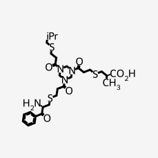 CC(C)CSCCC(=O)N1CN(C(=O)CCSC[C@H](C)C(=O)O)CN(C(=O)CCSC[C@H](N)C(=O)c2ccccc2)C1